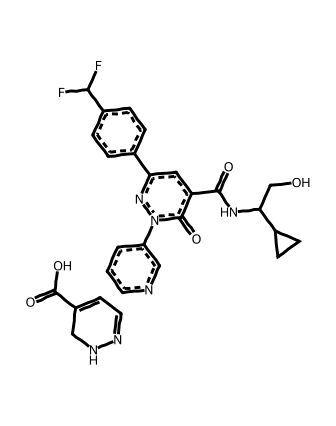 O=C(NC(CO)C1CC1)c1cc(-c2ccc(C(F)F)cc2)nn(-c2cccnc2)c1=O.O=C(O)C1=CC=NNC1